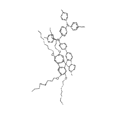 CCCCCCCCOc1cc2c(cc1OCCCCCCCC)C1(c3cc(C)ccc3-c3ccc(-c4ccc(N(c5ccc(C)cc5)c5ccc(N(c6ccc(C)cc6)c6ccc(C)cc6)cc5)cc4)cc31)c1cc(OCCCCCCCC)c(OCCCCCCCC)cc1-2